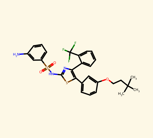 CC(C)(C)CCOc1cccc(-c2sc(NS(=O)(=O)c3cccc(N)c3)nc2-c2ccccc2C(F)(F)F)c1